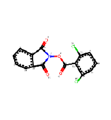 O=C(ON1C(=O)c2ccccc2C1=O)c1c(Cl)cccc1Cl